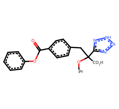 CC(C)OC(Cc1ccc(C(=O)Oc2ccccc2)cc1)(C(=O)O)c1nn[nH]n1